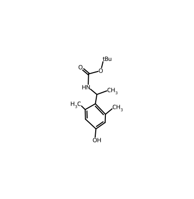 Cc1cc(O)cc(C)c1C(C)NC(=O)OC(C)(C)C